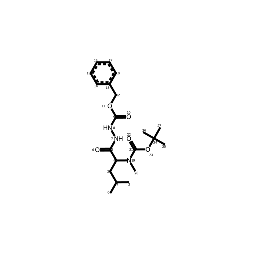 CC(C)CC(C(=O)NNC(=O)OCc1ccccc1)N(C)C(=O)OC(C)(C)C